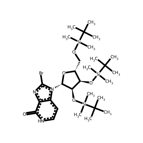 CC(C)(C)[Si](C)(C)OC[C@H]1O[C@@H](n2c(Br)nc3c(=O)[nH]ccc32)[C@H](O[Si](C)(C)C(C)(C)C)[C@@H]1O[Si](C)(C)C(C)(C)C